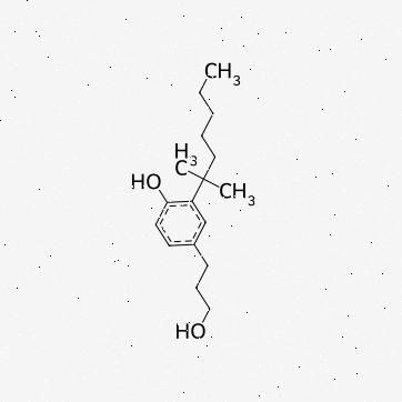 CCCCCC(C)(C)c1cc(CCCO)ccc1O